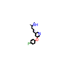 CN[C@H](C)C/C=C/c1cncc(Oc2ccc(F)cc2)c1